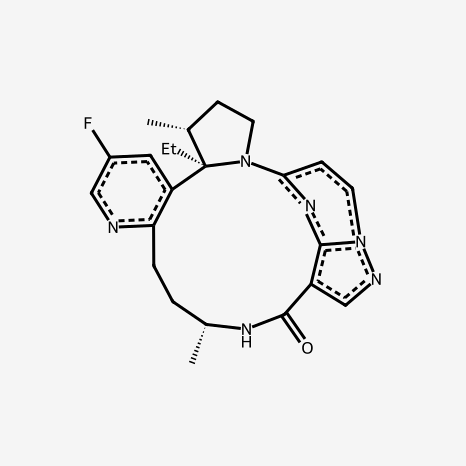 CC[C@@]12c3cc(F)cnc3CC[C@@H](C)NC(=O)c3cnn4ccc(nc34)N1CC[C@H]2C